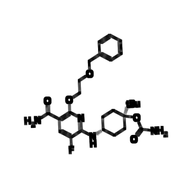 CC(C)(C)[C@]1(OC(N)=O)CC[C@H](Nc2nc(OCCOCc3ccccc3)c(C(N)=O)cc2F)CC1